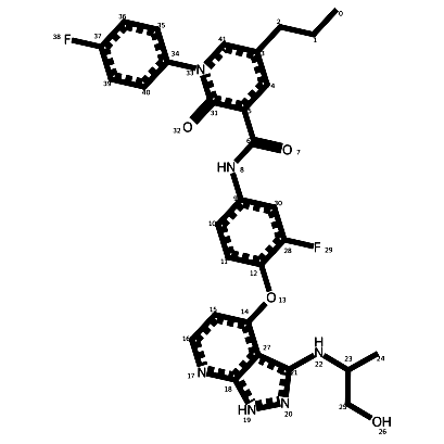 CCCc1cc(C(=O)Nc2ccc(Oc3ccnc4[nH]nc(NC(C)CO)c34)c(F)c2)c(=O)n(-c2ccc(F)cc2)c1